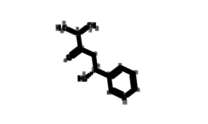 CN(C)C(=O)C[C@@H](O)c1cccnc1